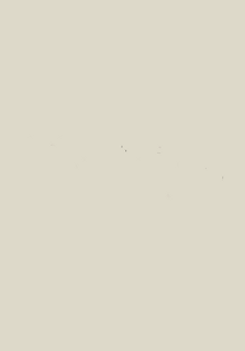 CCOC(=O)c1nc(-c2ccc(Cl)cc2)oc1-c1ccccc1Cl